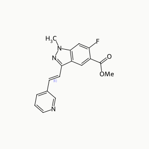 COC(=O)c1cc2c(/C=C/c3cccnc3)nn(C)c2cc1F